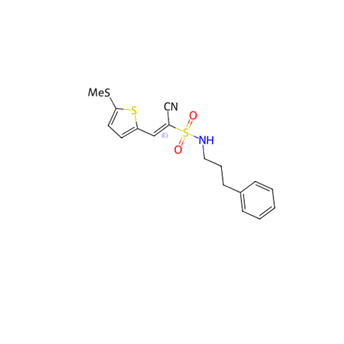 CSc1ccc(/C=C(\C#N)S(=O)(=O)NCCCc2ccccc2)s1